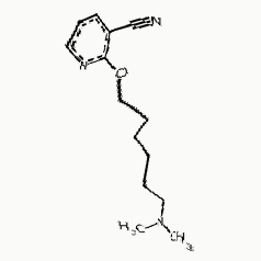 CN(C)CCCCCCOc1ncccc1C#N